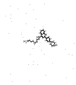 CN(CCCN)CCCNc1cc(-c2ccc(N3CCNCC3)cc2)nc2ccccc12